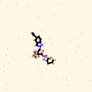 C#Cc1ccc2nn(CC[C@](C)(C(=O)NOC3CCCCO3)S(C)(=O)=O)cc2c1